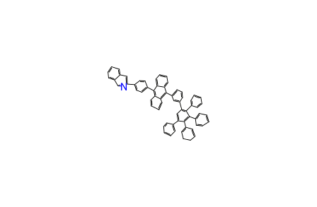 C1=CC(c2c(-c3ccccc3)cc(-c3cccc(-c4c5ccccc5c(-c5ccc(-c6cc7ccccc7cn6)cc5)c5ccccc45)c3)c(-c3ccccc3)c2-c2ccccc2)=CCC1